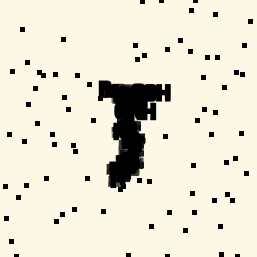 O=C(O)CC(NC(=O)c1cnc2c(c1)CN(Cc1ccc(C(F)(F)F)cc1)C2)c1ccc(Br)cc1